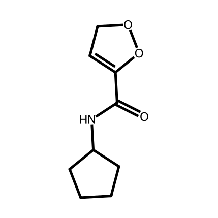 O=C(NC1CCCC1)C1=CCOO1